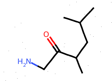 CC(C)CC(C)C(=O)CN